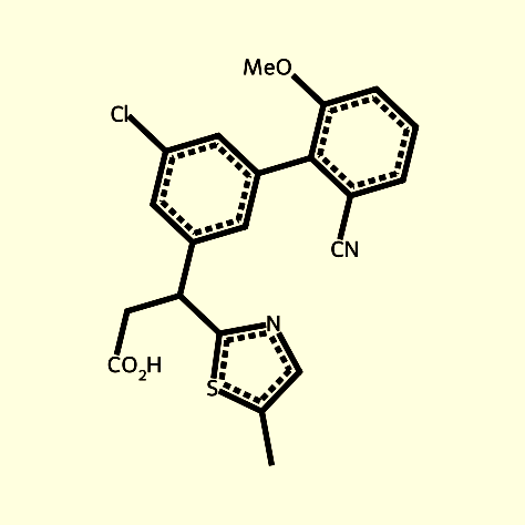 COc1cccc(C#N)c1-c1cc(Cl)cc(C(CC(=O)O)c2ncc(C)s2)c1